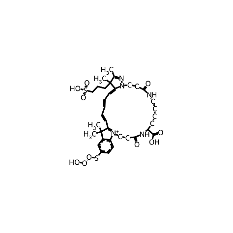 CC1=NN2CCC(=O)NCCCCC(C(=O)O)NC(=O)CC[N+]3=C(/C=C/C=C/C=C\2C1(C)CCCS(=O)(=O)O)C(C)(C)c1cc(SOOO)ccc13